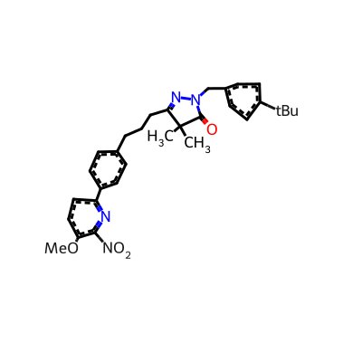 COc1ccc(-c2ccc(CCCC3=NN(Cc4ccc(C(C)(C)C)cc4)C(=O)C3(C)C)cc2)nc1[N+](=O)[O-]